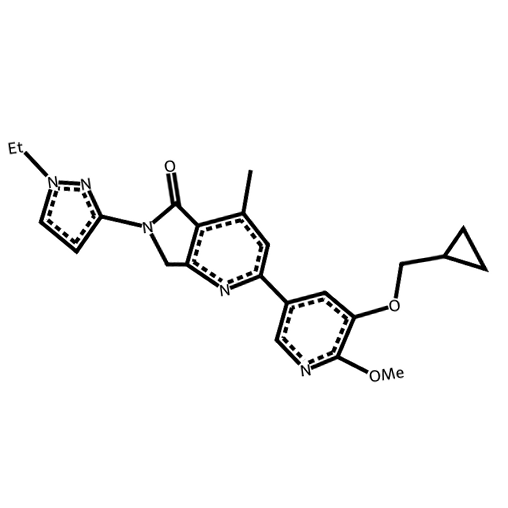 CCn1ccc(N2Cc3nc(-c4cnc(OC)c(OCC5CC5)c4)cc(C)c3C2=O)n1